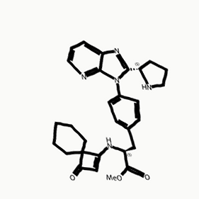 COC(=O)[C@H](Cc1ccc(-n2c([C@@H]3CCCN3)nc3cccnc32)cc1)NC1=CC(=O)C12CCCCC2